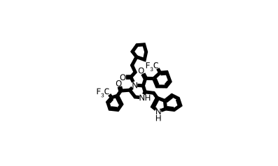 O=C(c1ccccc1C(F)(F)F)C1CNC(Cc2c[nH]c3ccccc23)C(C(=O)c2ccccc2C(F)(F)F)N1C(=O)CCC1CCCCC1